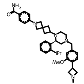 COc1cc(CN2CCN(C3CC4(C3)CN(c3ccc(C(N)=O)cc3)C4)[C@H](c3ccccc3C(C)C)C2)ccc1C1CN(C)C1